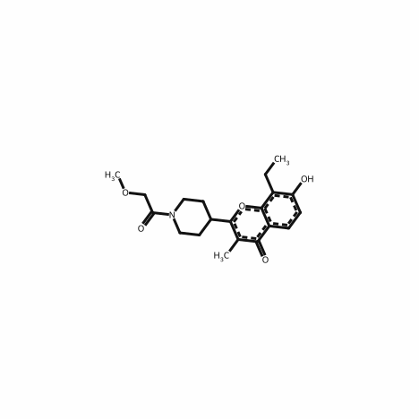 CCc1c(O)ccc2c(=O)c(C)c(C3CCN(C(=O)COC)CC3)oc12